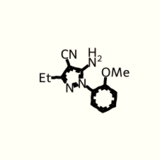 CCc1nn(-c2ccccc2OC)c(N)c1C#N